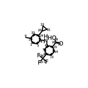 Cc1ccc(Nc2cc(C(F)(F)F)ccc2C(=O)O)c(C2CC2)c1